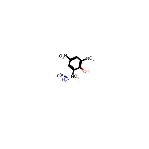 CCCCN.O=[N+]([O-])c1cc([N+](=O)[O-])c(O)c([N+](=O)[O-])c1